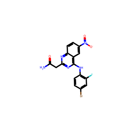 NC(=O)Cc1nc(Nc2ccc(Br)cc2F)c2cc([N+](=O)[O-])ccc2n1